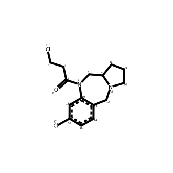 O=C(CCCl)N1CC2CCCN2Cc2ccc(Cl)cc21